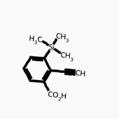 C#Cc1c(C(=O)O)cccc1[Si](C)(C)C